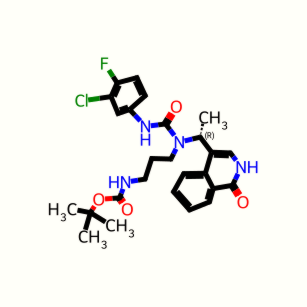 C[C@H](c1c[nH]c(=O)c2ccccc12)N(CCCNC(=O)OC(C)(C)C)C(=O)Nc1ccc(F)c(Cl)c1